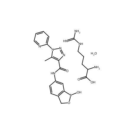 Cc1c(C(=O)Nc2ccc3c(c2)B(O)OC3)nnn1-c1ccccn1.N=C(N)NCCCC(N)C(=O)O.O